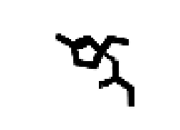 CC[C@@H](F)C[C@@]1(CC)C=C(C)CC1